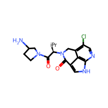 CC(C)[C@H](C(=O)N1CCC(N)C1)N1Cc2c(Cl)cnc3[nH]cc(c23)C1=O